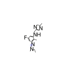 CCN(C)/C=N/c1cc(F)cc(NCc2cnc(C)cn2)c1C